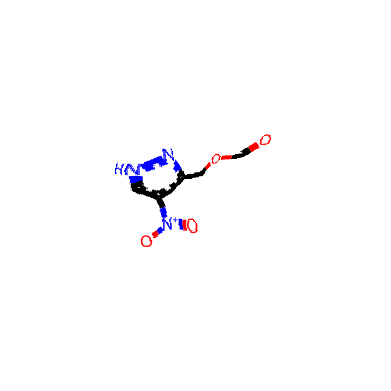 O=COCc1n[nH]cc1[N+](=O)[O-]